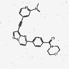 CN(C)c1cc(C#Cc2cnn3ccc(-c4ccc(C(=O)N5CCOCC5)cc4)nc23)ccn1